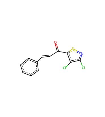 O=C(C=Cc1ccccc1)c1snc(Cl)c1Cl